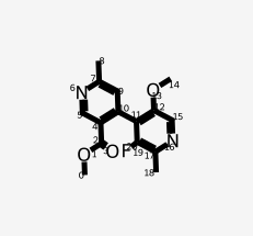 COC(=O)c1cnc(C)cc1-c1c(OC)cnc(C)c1F